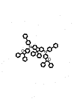 c1ccc(-c2ccc(N(c3ccc4c(c3)C(c3ccccc3)(c3ccccc3)c3cc(N(c5ccc(-c6ccccc6)cc5)c5ccc6c(-c7ccccc7)c(-c7ccccc7)oc6c5)ccc3-4)c3ccc4c(-c5ccccc5)c(-c5ccccc5)oc4c3)cc2)cc1